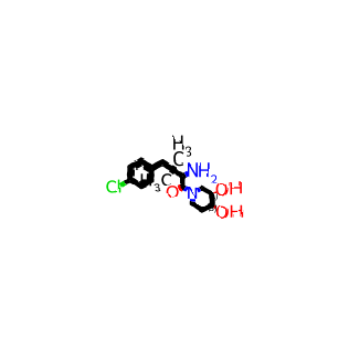 CC(C)(Cc1ccc(Cl)cc1)C(N)C(=O)N1CC[C@H](O)[C@@H](O)C1